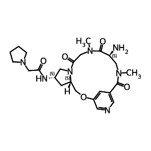 CN1C[C@H](N)C(=O)N(C)CC(=O)N2C[C@@H](NC(=O)CN3CCCC3)C[C@H]2COc2cncc(c2)C1=O